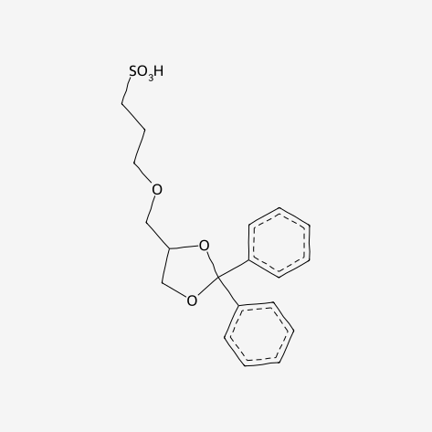 O=S(=O)(O)CCCOCC1COC(c2ccccc2)(c2ccccc2)O1